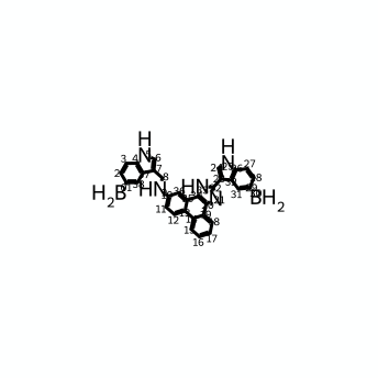 Bc1ccc2[nH]cc(CNc3ccc4c5ccccc5c5nc(-c6c[nH]c7ccc(B)cc67)[nH]c5c4c3)c2c1